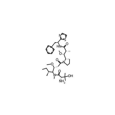 CC[C@H](C)[C@@H]([C@@H](CC(=O)N1CCC[C@H]1[C@H](OC)[C@@H](C)C(=O)N[C@@H](Cc1ccccc1)c1nccs1)OC)N(C)C(=O)[C@@H](N)C(C)(C)O